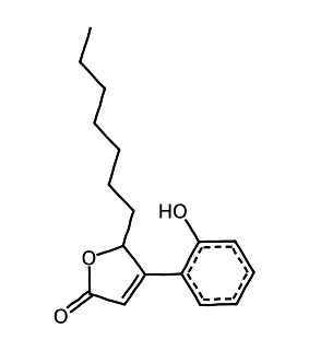 CCCCCCCC1OC(=O)C=C1c1ccccc1O